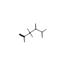 C=C(C)C(C)(C)C(C)C(C)S